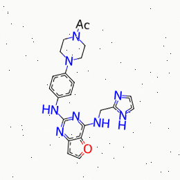 CC(=O)N1CCN(c2ccc(Nc3nc(NCc4ncc[nH]4)c4occc4n3)cc2)CC1